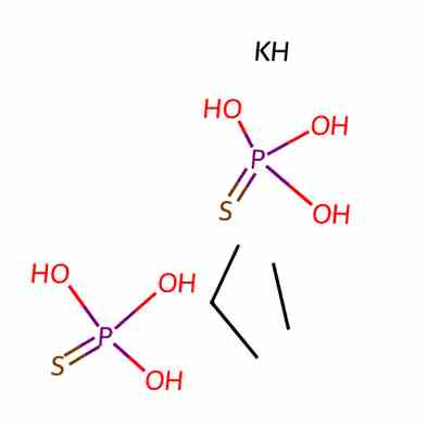 CC.CCC.OP(O)(O)=S.OP(O)(O)=S.[KH]